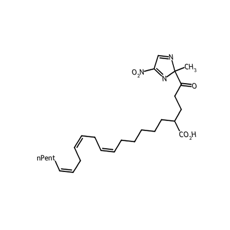 CCCCC/C=C\C/C=C\C/C=C\CCCCCC(CCC(=O)C1(C)N=CC([N+](=O)[O-])=N1)C(=O)O